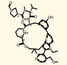 CCn1c(-c2cnccc2COC)c2c3cc(ccc31)-c1cc(O)cc(c1)C[C@H](NC(=O)[C@H](C(C)C)N(C)C(=O)[C@H]1CCN(C=O)C1)C(=O)N1CCC[C@H](N1)C(=O)OCC(C)(C)C2